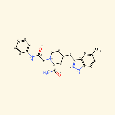 Cc1ccc2[nH]nc(CC3CCN(CC(=O)Nc4ccccc4)CC3)c2c1.NC=O